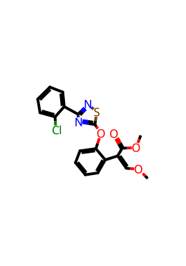 COC=C(C(=O)OC)c1ccccc1Oc1nc(-c2ccccc2Cl)ns1